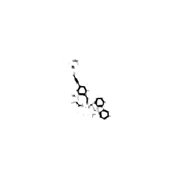 CC(C)[C@H]1C(=O)N[C@H](CO[Si](c2ccccc2)(c2ccccc2)C(C)(C)C)Cc2ccc(C#CCOC(=O)NC(C)(C)C)cc2N1C